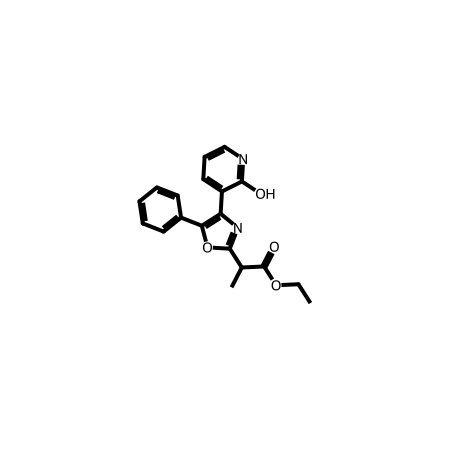 CCOC(=O)C(C)c1nc(-c2cccnc2O)c(-c2ccccc2)o1